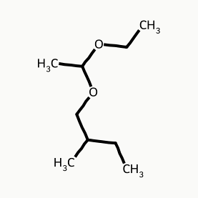 CCOC(C)OCC(C)CC